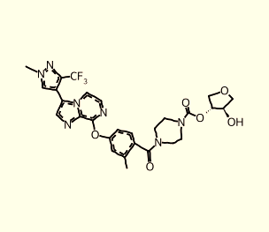 Cc1cc(Oc2nccn3c(-c4cn(C)nc4C(F)(F)F)cnc23)ccc1C(=O)N1CCN(C(=O)O[C@@H]2COC[C@H]2O)CC1